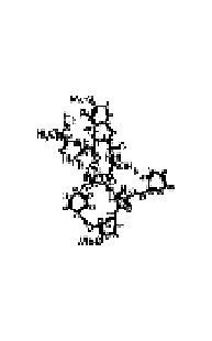 COc1ccc(C[C@@H](C(=O)N[C@@H](C)C(=O)N(C)[C@H]2Cc3ccc(cc3)Oc3cc(ccc3OC)C[C@@H](C(=O)OCc3ccccc3)NC2=O)N(C)C(=O)[C@H](C)NC(=O)[C@@H](C)N)cc1F